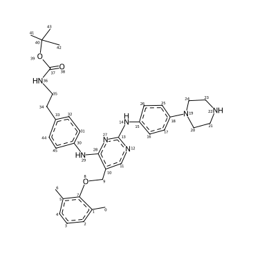 Cc1cccc(C)c1OCc1cnc(Nc2ccc(N3CCNCC3)cc2)nc1Nc1ccc(CCNC(=O)OC(C)(C)C)cc1